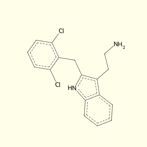 NCCc1c(Cc2c(Cl)cccc2Cl)[nH]c2ccccc12